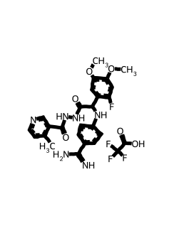 COc1cc(F)c(C(Nc2ccc(C(=N)N)cc2)C(=O)NNC(=O)c2cnccc2C)cc1OC.O=C(O)C(F)(F)F